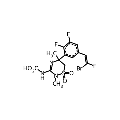 CN1C(NC(=O)O)=NC(C)(c2cc(C=C(F)Br)cc(F)c2F)CS1(=O)=O